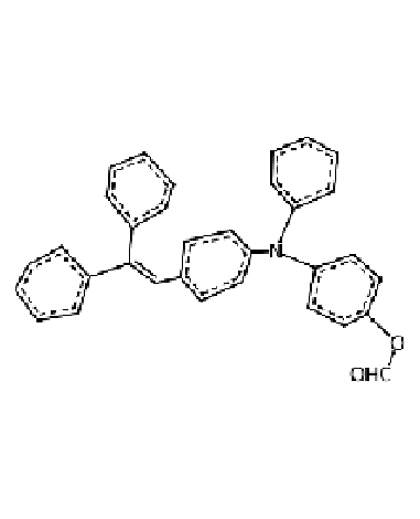 O=COc1ccc(N(c2ccccc2)c2ccc(C=C(c3ccccc3)c3ccccc3)cc2)cc1